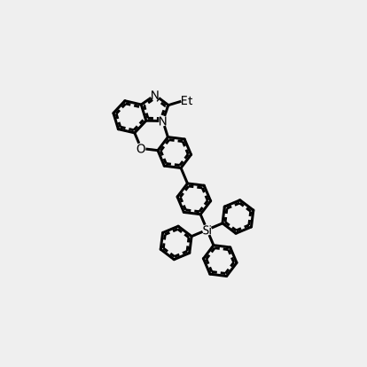 CCc1nc2cccc3c2n1-c1ccc(-c2ccc([Si](c4ccccc4)(c4ccccc4)c4ccccc4)cc2)cc1O3